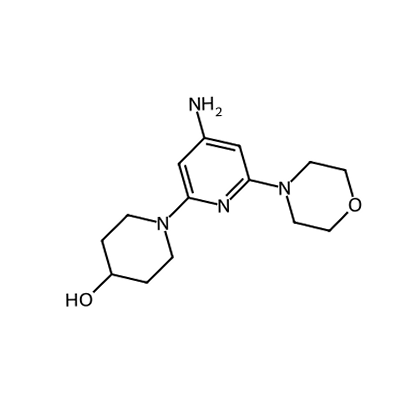 Nc1cc(N2CCOCC2)nc(N2CCC(O)CC2)c1